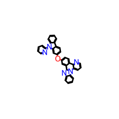 c1ccc(-n2c3ccccc3c3ccc(Oc4ccc5c(c4)c4nc6ccccc6n4c4cccnc54)cc32)nc1